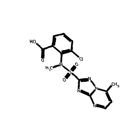 Cc1ccnc2nc(S(=O)(=O)N(C)c3c(Cl)cccc3C(=O)O)nn12